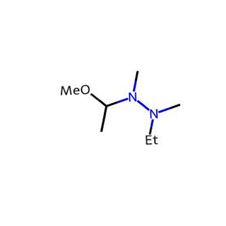 CCN(C)N(C)C(C)OC